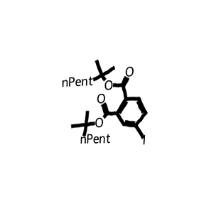 CCCCCC(C)(C)OC(=O)c1ccc(I)cc1C(=O)OC(C)(C)CCCCC